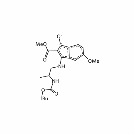 COC(=O)c1c(NCC(C)NC(=O)OC(C)(C)C)c2cc(OC)ccc2[s+]1[O-]